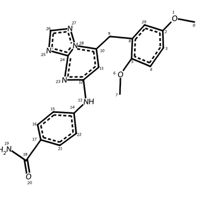 COc1ccc(OC)c(Cc2cc(Nc3ccc(C(N)=O)cc3)nc3ncnn23)c1